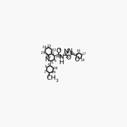 Cc1ccc(-c2cc(C(=O)Nc3nnc(-c4ccco4)o3)c3ccccc3n2)cc1